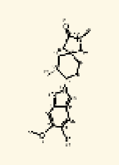 COc1cc2nn([C@@H]3CC[C@]4(CC(=O)N(C)C4)C[C@H]3C)cc2cc1Br